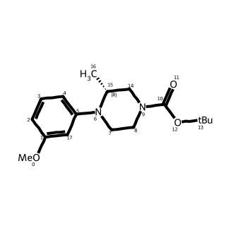 COc1cccc(N2CCN(C(=O)OC(C)(C)C)C[C@H]2C)c1